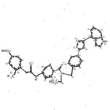 COc1ccc(CC(=O)Nc2ccc(C(=O)N(CC(=O)O)Cc3ccc(-c4noc(-c5cccc6[nH]ccc56)n4)cc3)cc2)c(C(F)(F)F)c1